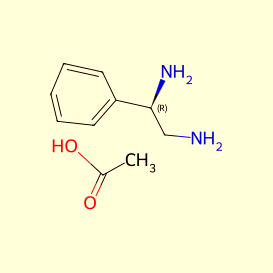 CC(=O)O.NC[C@H](N)c1ccccc1